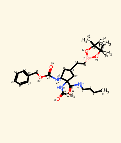 CCCCNC(=O)C1(NC(C)=O)CC(CCB2OC(C)(C)C(C)(C)O2)CC1NC(=O)OCc1ccccc1